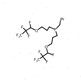 CC(C)CP(CCCOC(F)C(F)(F)C(F)(F)F)CCCOC(F)C(F)(F)C(F)(F)F